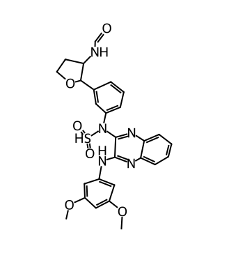 COc1cc(Nc2nc3ccccc3nc2N(c2cccc(C3OCCC3NC=O)c2)[SH](=O)=O)cc(OC)c1